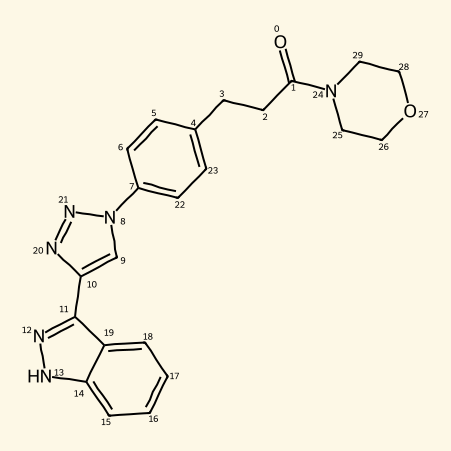 O=C(CCc1ccc(-n2cc(-c3n[nH]c4ccccc34)nn2)cc1)N1CCOCC1